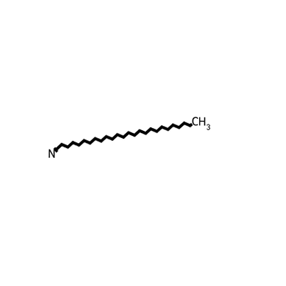 CCCCCCCCCCCCCCCCCCCCCCCCCC#N